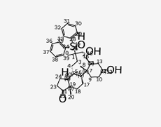 CC(C)(CC[C@@H]1[C@@H]([C@@]2(C)CC[C@H](O)C[C@@H]2CO)CC[C@]2(C)C(=O)CC[C@@H]12)[Si](O)(c1ccccc1)c1ccccc1